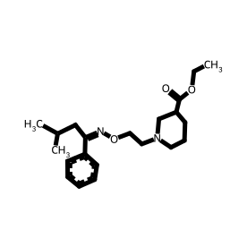 CCOC(=O)C1CCCN(CCON=C(CC(C)C)c2ccccc2)C1